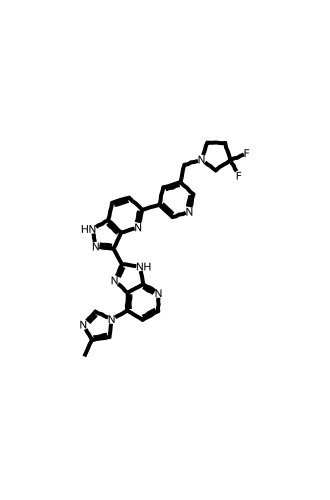 Cc1cn(-c2ccnc3[nH]c(-c4n[nH]c5ccc(-c6cncc(CN7CCC(F)(F)C7)c6)nc45)nc23)cn1